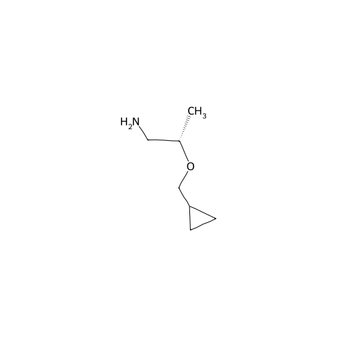 C[C@@H](CN)OCC1CC1